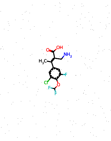 C/C(=C(/CN)C(=O)O)c1cc(F)c(OC(F)F)c(Cl)c1